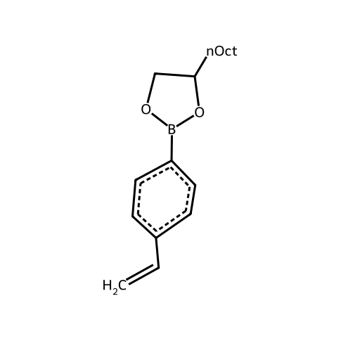 C=Cc1ccc(B2OCC(CCCCCCCC)O2)cc1